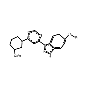 COC1CCCN(c2cc(-c3n[nH]c4c3=CCC(OC(C)C)=CC=4)ncn2)C1